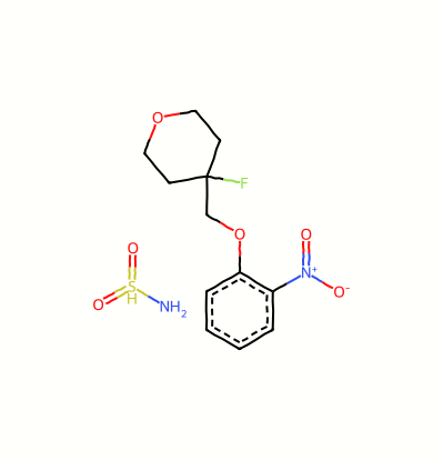 N[SH](=O)=O.O=[N+]([O-])c1ccccc1OCC1(F)CCOCC1